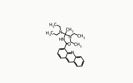 CCN(CC)C(C)(NC(=O)c1cccc2cc3ccccc3nc12)N(CC)CC